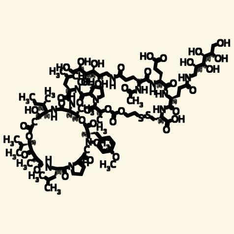 CC[C@H](C)[C@H]1NC(=O)[C@@H](NC(=O)[C@@H](CC(C)C)N(C)C(=O)C2CCCN2C(=O)[C@H](C)OC(=O)OCCSSC[C@H](NC(=O)[C@H](CCC(=O)NC[C@H](O)[C@@H](O)[C@H](O)[C@H](O)CO)NC(=O)[C@H](CCC(=O)O)NC(=O)[C@H](CCC(=O)NC[C@H](O)[C@@H](O)[C@H](O)[C@H](O)CO)NC(C)=O)C(=O)O)[C@@H](C)OC(=O)[C@H](Cc2ccc(OC)cc2)N(C)CC(=O)[C@@H]2CCCN2C(=O)[C@H](CC(C)C)NC(=O)[C@@H](C)C(=O)[C@H](C(C)C)OC(=O)C[C@@H]1O